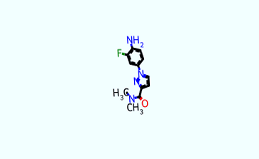 CN(C)C(=O)c1ccn(-c2ccc(N)c(F)c2)n1